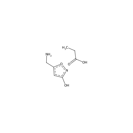 CCC(=O)O.NCc1cc(O)no1